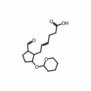 O=CC1CCC(OC2CCCCO2)C1CC=CCCC(=O)O